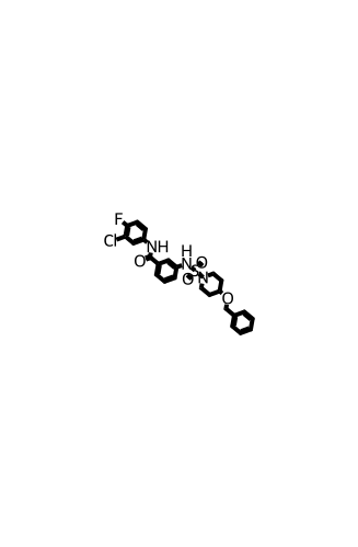 O=C(Nc1ccc(F)c(Cl)c1)c1cccc(NS(=O)(=O)N2CCC(OCc3ccccc3)CC2)c1